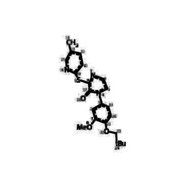 COc1cc(-n2ccnc(Sc3ccc(C)cn3)c2=O)ccc1OCC(C)(C)C